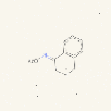 CC(=O)ON=C1CCCc2ccccc21